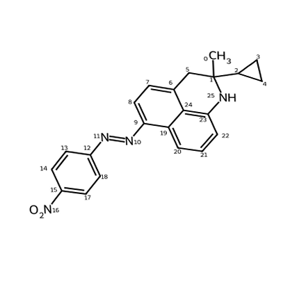 CC1(C2CC2)Cc2ccc(N=Nc3ccc([N+](=O)[O-])cc3)c3cccc(c23)N1